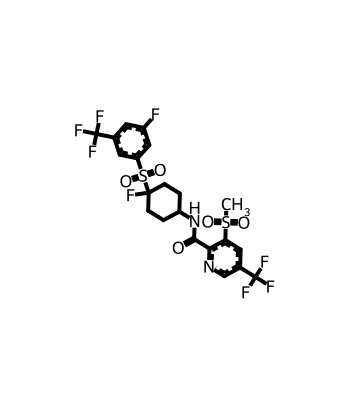 CS(=O)(=O)c1cc(C(F)(F)F)cnc1C(=O)NC1CCC(F)(S(=O)(=O)c2cc(F)cc(C(F)(F)F)c2)CC1